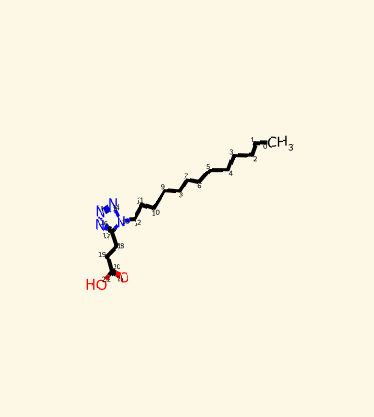 CCCCCCCCCCCCCn1nnnc1CCC(=O)O